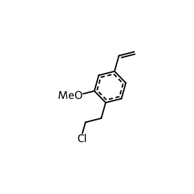 C=Cc1ccc(CCCl)c(OC)c1